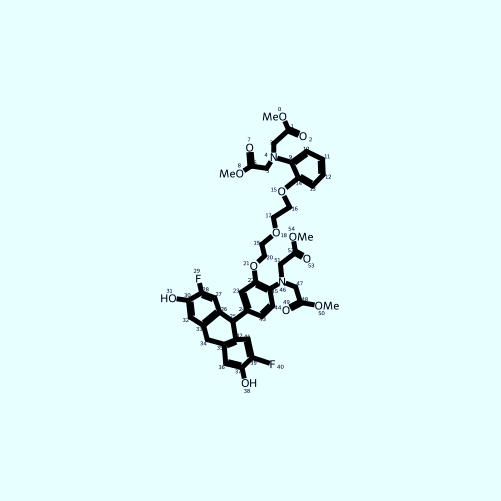 COC(=O)CN(CC(=O)OC)c1ccccc1OCCOCCOc1cc(C2c3cc(F)c(O)cc3Cc3cc(O)c(F)cc32)ccc1N(CC(=O)OC)CC(=O)OC